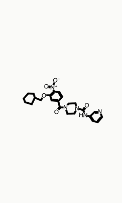 O=C(Nc1cccnc1)N1CCN(C(=O)c2ccc([N+](=O)[O-])c(OCC3CCCCC3)c2)CC1